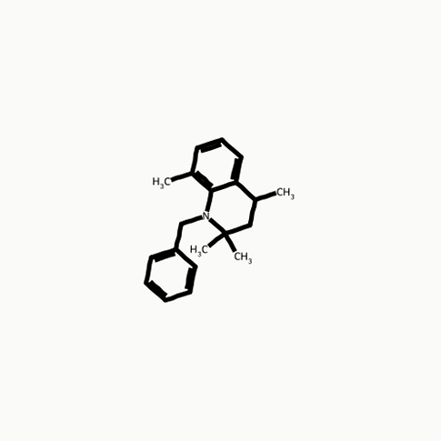 Cc1cccc2c1N(Cc1ccccc1)C(C)(C)CC2C